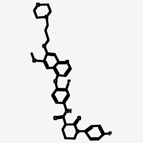 COc1cc2c(Oc3ccc(NC(=O)C4CCCN(c5ccc(F)cc5)C4=O)cc3F)ccnc2cc1OCCCN1CCOCC1